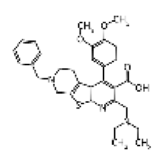 CCN(CC)Cc1nc2sc3c(c2c(-c2ccc(OC)c(OC)c2)c1C(=O)O)CCN(Cc1ccccc1)C3